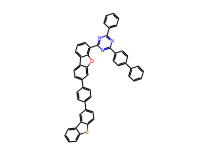 c1ccc(-c2ccc(-c3nc(-c4ccccc4)nc(-c4cccc5c4oc4cc(-c6ccc(-c7ccc8sc9ccccc9c8c7)cc6)ccc45)n3)cc2)cc1